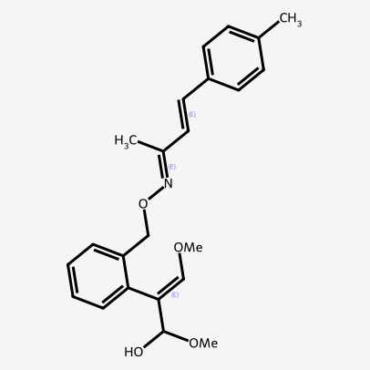 CO/C=C(\c1ccccc1CO/N=C(C)/C=C/c1ccc(C)cc1)C(O)OC